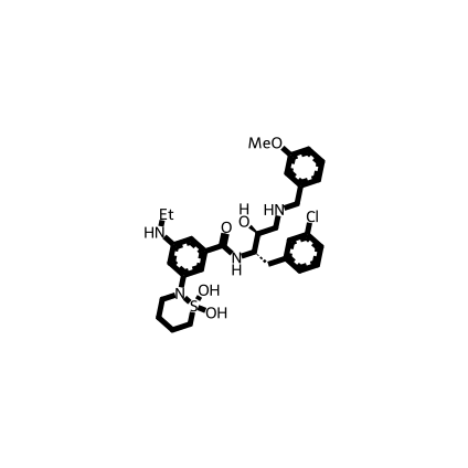 CCNc1cc(C(=O)N[C@@H](Cc2cccc(Cl)c2)[C@@H](O)CNCc2cccc(OC)c2)cc(N2CCCCS2(O)O)c1